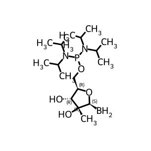 B[C@@H]1O[C@H](COP(N(C(C)C)C(C)C)N(C(C)C)C(C)C)[C@@H](O)[C@@]1(C)O